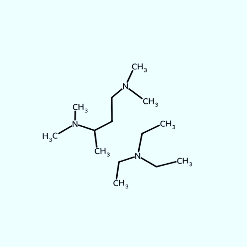 CC(CCN(C)C)N(C)C.CCN(CC)CC